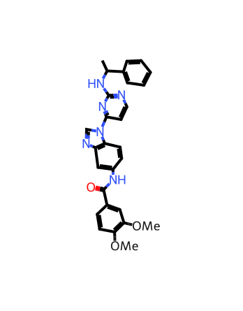 COc1ccc(C(=O)Nc2ccc3c(c2)ncn3-c2ccnc(NC(C)c3ccccc3)n2)cc1OC